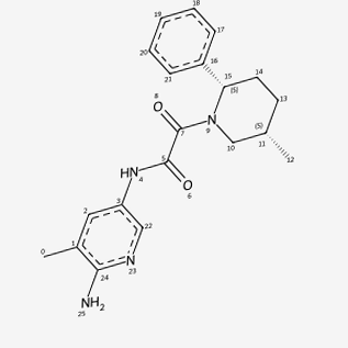 Cc1cc(NC(=O)C(=O)N2C[C@@H](C)CC[C@H]2c2ccccc2)cnc1N